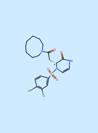 O=C1NC=CN(S(=O)(=O)c2ccc(Cl)c(Cl)c2)[C@@H]1CC(=O)N1CCCCCCCC1